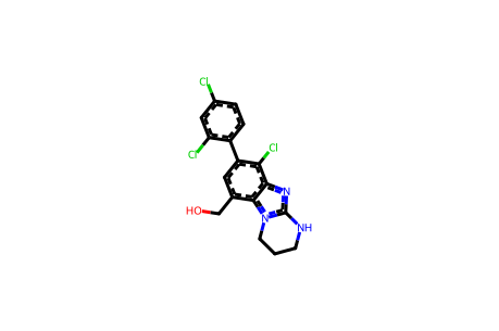 OCc1cc(-c2ccc(Cl)cc2Cl)c(Cl)c2nc3n(c12)CCCN3